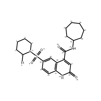 CCC1CCCCN1S(=O)(=O)c1ccc2[nH]c(=O)cc(C(=O)NC3CCCCCC3)c2c1